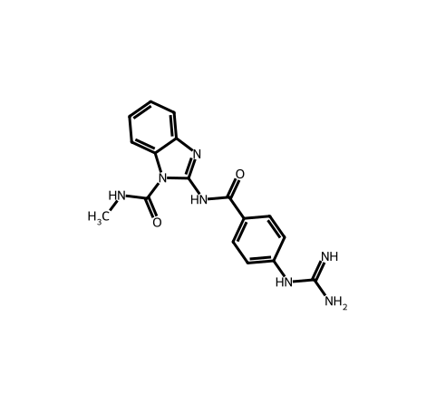 CNC(=O)n1c(NC(=O)c2ccc(NC(=N)N)cc2)nc2ccccc21